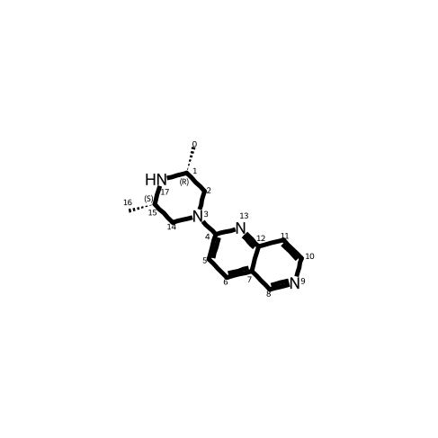 C[C@@H]1CN(c2ccc3cnccc3n2)C[C@H](C)N1